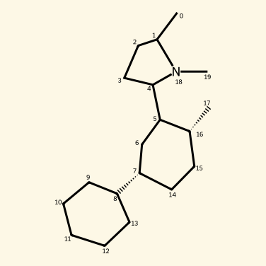 CC1CCC(C2C[C@@H](C3CCCCC3)CC[C@H]2C)N1C